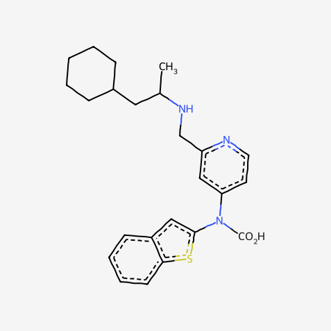 CC(CC1CCCCC1)NCc1cc(N(C(=O)O)c2cc3ccccc3s2)ccn1